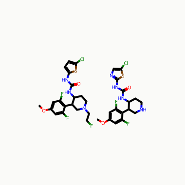 COc1cc(F)c(C2CN(CCF)CCC2NC(=O)Nc2ccc(Cl)s2)c(F)c1.COc1cc(F)c(C2CNCCC2NC(=O)Nc2ncc(Cl)s2)c(F)c1